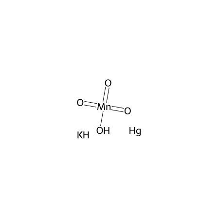 [Hg].[KH].[O]=[Mn](=[O])(=[O])[OH]